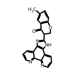 Cc1ccc2c(c1)C(=O)C(c1nc3c4cccnc4c4ncccc4c3[nH]1)CO2